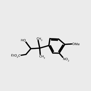 CCOC(=O)CC(O)C(C)(C)c1ccc(OC)c([N+](=O)[O-])c1